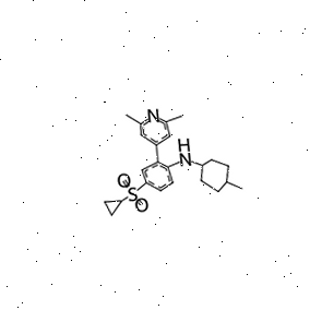 Cc1cc(-c2cc(S(=O)(=O)C3CC3)ccc2NC2CCC(C)CC2)cc(C)n1